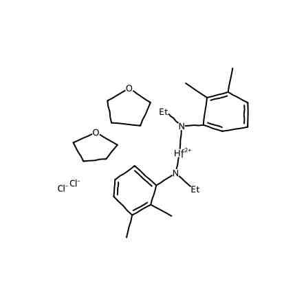 C1CCOC1.C1CCOC1.CC[N]([Hf+2][N](CC)c1cccc(C)c1C)c1cccc(C)c1C.[Cl-].[Cl-]